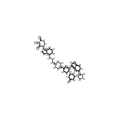 O=C1CCC(n2ccc3c(CCCN4CCN(c5cccc(-c6cnc7ccc(N8CCC[C@@H]8c8cccc(F)c8)nn67)n5)CC4)cccc32)C(=O)N1